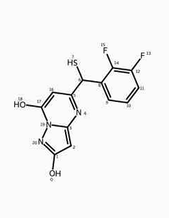 Oc1cc2nc(C(S)c3cccc(F)c3F)cc(O)n2n1